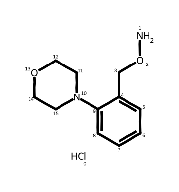 Cl.NOCc1ccccc1N1CCOCC1